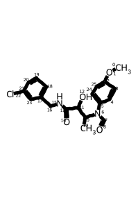 COc1ccc(N(C=O)C(C)C(O)C(=O)NCc2cccc(Cl)c2)cc1